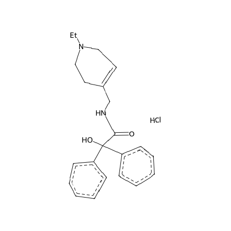 CCN1CC=C(CNC(=O)C(O)(c2ccccc2)c2ccccc2)CC1.Cl